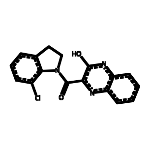 O=C(c1nc2ccccc2nc1O)N1CCc2cccc(Cl)c21